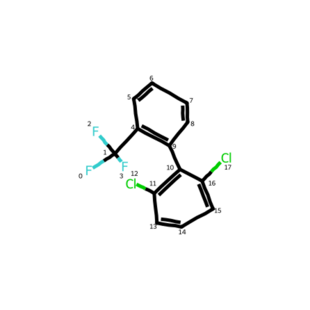 FC(F)(F)c1[c]cccc1-c1c(Cl)cccc1Cl